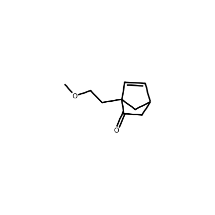 COCCC12C=CC(CC1=O)C2